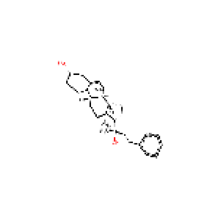 C[C@]12CC[C@H]3[C@@H](CC=C4C[C@@H](O)CC[C@@]43C)[C@@H]1CC[C@@H]2[C@@](C)(O)CCc1ccccc1